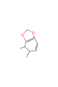 CC1C=CC2=C(OCO2)C1C